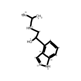 CC(NCC(O)c1cccc2[nH]ncc12)C(C)(C)C